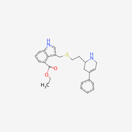 CCOC(=O)c1cccc2[nH]cc(CSCCC3CC(c4ccccc4)=CCN3)c12